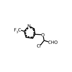 O=CC(Cl)Oc1ccc(C(F)(F)F)nc1